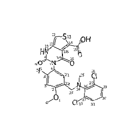 COc1cc(F)c(-n2c(=O)[nH]c3csc(C(=O)O)c3c2=O)cc1CN(C)c1c(Cl)cccc1Cl